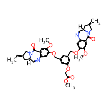 C=C1C[C@H]2C=Nc3cc(OCc4cc(COc5cc6c(cc5OC)C(=O)N5C/C(=C/C)C[C@H]5C=N6)cc(OCC(=O)OC)c4)c(OC)cc3C(=O)N2C1